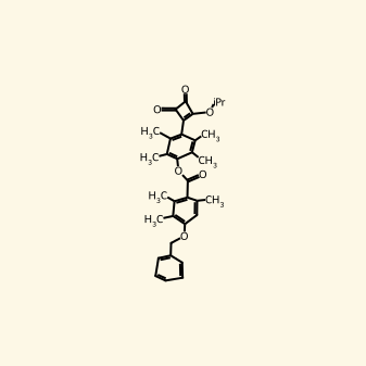 Cc1cc(OCc2ccccc2)c(C)c(C)c1C(=O)Oc1c(C)c(C)c(-c2c(OC(C)C)c(=O)c2=O)c(C)c1C